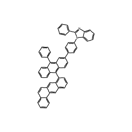 c1ccc(-c2c3ccccc3c(-c3cccc4cc5c(ccc6ccccc65)cc34)c3ccc(-c4ccc(-n5c(-c6ccccc6)nc6ccccc65)cc4)cc23)cc1